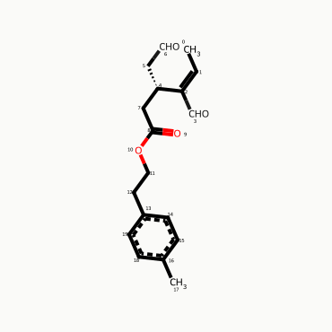 C/C=C(/C=O)[C@@H](CC=O)CC(=O)OCCc1ccc(C)cc1